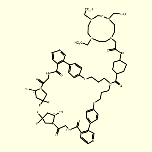 N#C[C@@H]1CC(F)(F)CN1C(=O)CNC(=O)c1ccncc1-c1ccc(OCCCN(CCCOc2ccc(-c3cnccc3C(=O)NCC(=O)N3CC(F)(F)C[C@H]3C#N)cc2)C(=O)C2CCC(NC(=O)CN3CCN(CC(=O)O)CCN(CC(=O)O)CCN(CC(=O)O)CC3)CC2)cc1